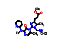 CCN(c1ccccn1)c1ncc(C)n(C2=NC(=CCC(=O)OC(C)(C)C)C(C)N2CNC=O)c1=O